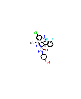 CC(C)(C)C[C@@H]1N[C@@H](C(=O)N[C@H]2CC[C@@H](O)CC2)[C@H](c2cccc(F)c2F)[C@]12C(=O)Nc1cc(Cl)ccc12